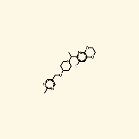 Cc1ncc(COC2CCN(C(C)c3nc4c(cc3F)OCCO4)CC2)cn1